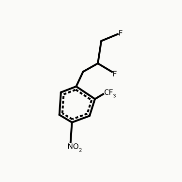 O=[N+]([O-])c1ccc(CC(F)CF)c(C(F)(F)F)c1